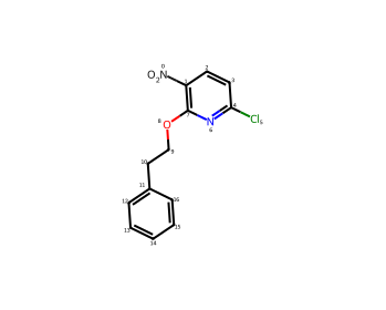 O=[N+]([O-])c1ccc(Cl)nc1OCCc1ccccc1